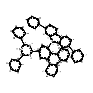 c1ccc(-c2ccc3c4ccc(-c5ccccc5)cc4n(-c4cc(-c5nc(-c6ccccc6)nc(-c6ccccc6)n5)cc5c6ccccc6c6ccccc6c45)c3c2)cc1